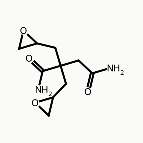 NC(=O)CC(CC1CO1)(CC1CO1)C(N)=O